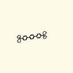 COC(OC)c1ccc(-c2ccc(-c3ccc(C(OC)OC)cc3)cc2)cc1